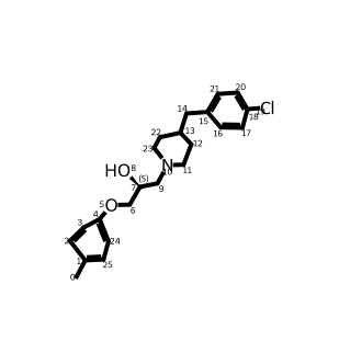 Cc1ccc(OC[C@@H](O)CN2CCC(Cc3ccc(Cl)cc3)CC2)cc1